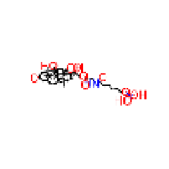 C[C@]12C=CC(=O)C=C1CC[C@@H]1[C@@H]2[C@@H](O)C[C@@]2(C)[C@H]1CC[C@]2(O)C(=O)COC(=O)CNC(=O)CCCCCON(O)O